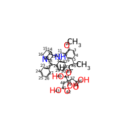 COc1ccc(C(C)C)cc1CNC1C2CCN(CC2)C1C(c1ccccc1)c1ccccc1.O=C(O)CC(O)(CC(=O)O)C(=O)O